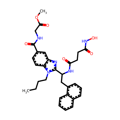 CCCCn1c(C(Cc2cccc3ccccc23)NC(=O)CCC(=O)NO)nc2cc(C(=O)NCC(=O)OC)ccc21